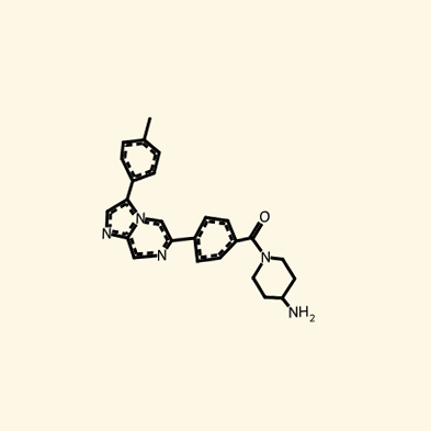 Cc1ccc(-c2cnc3cnc(-c4ccc(C(=O)N5CCC(N)CC5)cc4)cn23)cc1